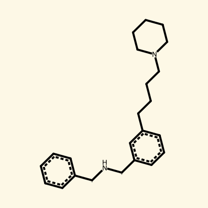 [CH](N[CH]c1cccc(CCCCN2CCCCC2)c1)c1ccccc1